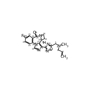 C=CCN(C)Cc1nc(-c2ncn3c2[C@@H]2CCN2C(=O)c2cc(F)ccc2-3)no1